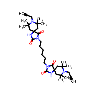 C#CCN1C(C)(C)CC2(CC1(C)C)NC(=O)N(CCCCCCN1C(=O)NC3(CC(C)(C)N(CC#C)C(C)(C)C3)C1=O)C2=O